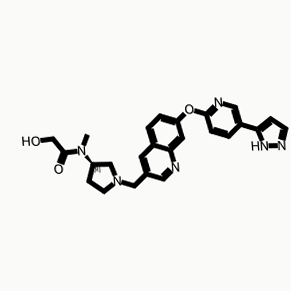 CN(C(=O)CO)[C@@H]1CCN(Cc2cnc3cc(Oc4ccc(-c5ccn[nH]5)cn4)ccc3c2)C1